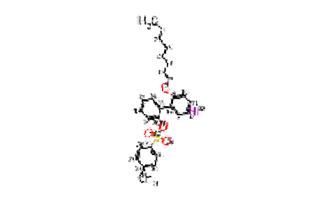 CCCCCCCCOc1ccccc1-c1ccccc1OS(=O)(=O)c1ccc(C)cc1.I